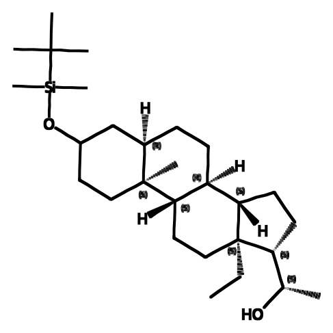 CC[C@]12CC[C@H]3[C@@H](CC[C@@H]4CC(O[Si](C)(C)C(C)(C)C)CC[C@@]43C)[C@@H]1CC[C@@H]2[C@H](C)O